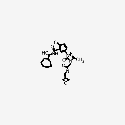 Cc1nn(-c2ccc(Cl)c(C(=O)NC(O)C3CCCCCC3)c2)c(=O)n1CC(=O)NCC1COC1